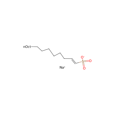 CCCCCCCCCCCCCCC=CS(=O)(=O)[O-].[Na+]